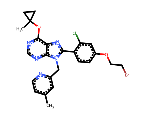 Cc1ccnc(Cn2c(-c3ccc(OCCBr)cc3Cl)nc3c(OC4(C)CC4)ncnc32)c1